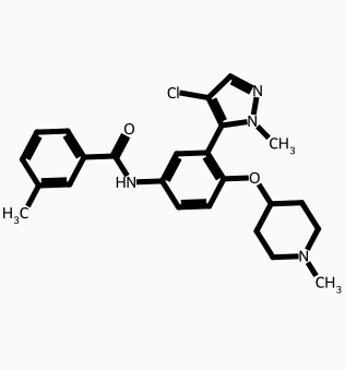 Cc1cccc(C(=O)Nc2ccc(OC3CCN(C)CC3)c(-c3c(Cl)cnn3C)c2)c1